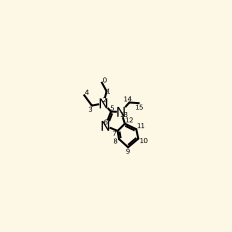 CCN(CC)c1nc2ccccc2n1CC